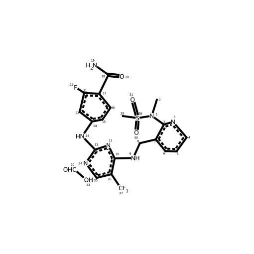 CN(c1ncccc1CNc1nc(Nc2ccc(C(N)=O)c(F)c2)ncc1C(F)(F)F)S(C)(=O)=O.O=CO